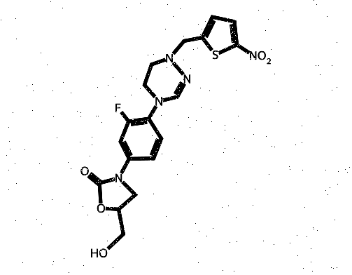 O=C1OC(CO)CN1c1ccc(N2C=NN(Cc3ccc([N+](=O)[O-])s3)CC2)c(F)c1